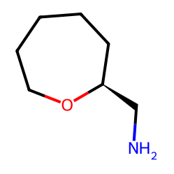 NC[C@@H]1CCCCCO1